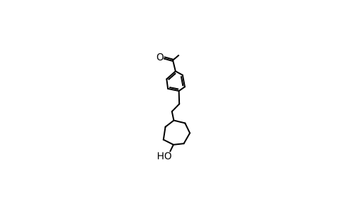 CC(=O)c1ccc(CCC2CCCC(O)CC2)cc1